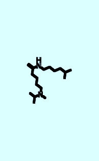 C=C(CCCCN(C)C(C)C)NCCCCC(C)C